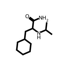 CC(C)NC(CC1CCCCC1)C(N)=O